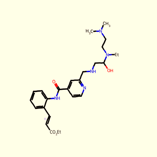 CCOC(=O)/C=C/c1ccccc1NC(=O)c1ccnc(CNCC(O)N(CC)CCN(C)C)c1